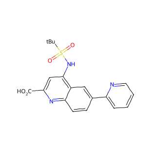 CC(C)(C)S(=O)(=O)Nc1cc(C(=O)O)nc2ccc(-c3ccccn3)cc12